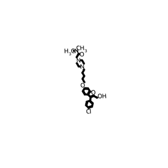 CN(C)C(=O)CN1CCN(CCCCCOc2ccc3c(-c4ccc(Cl)cc4)c(CO)oc3c2)CC1